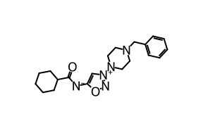 O=C([N-]c1c[n+](N2CCN(Cc3ccccc3)CC2)no1)C1CCCCC1